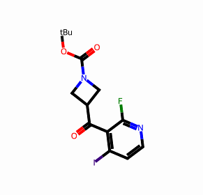 CC(C)(C)OC(=O)N1CC(C(=O)c2c(I)ccnc2F)C1